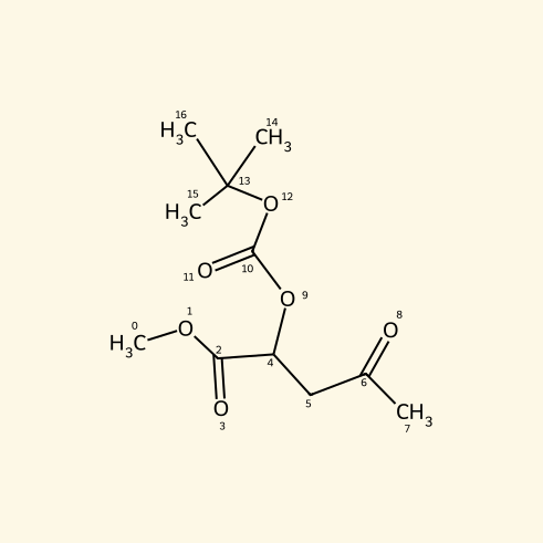 COC(=O)C(CC(C)=O)OC(=O)OC(C)(C)C